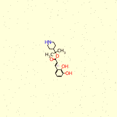 CC(C)(OC(=O)/C=C/c1cccc(O)c1O)C1CCNCC1